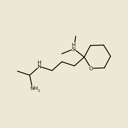 CC(N)NCCCC1([SiH](C)C)CCCCO1